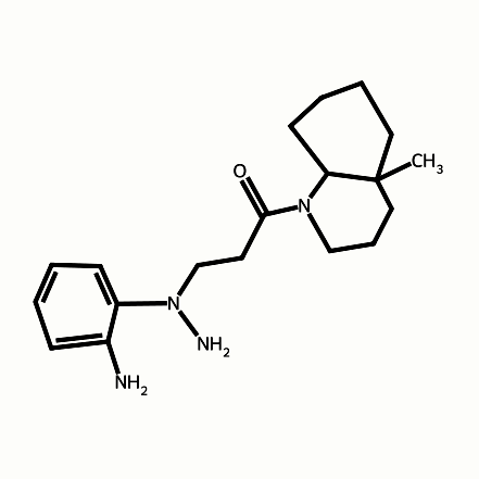 CC12CCCCC1N(C(=O)CCN(N)c1ccccc1N)CCC2